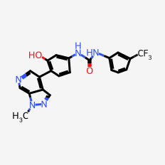 Cn1ncc2c(-c3ccc(NC(=O)Nc4cccc(C(F)(F)F)c4)cc3O)cncc21